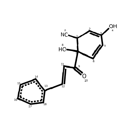 N#CC1C=C(O)C=CC1(O)C(=O)C=Cc1ccccc1